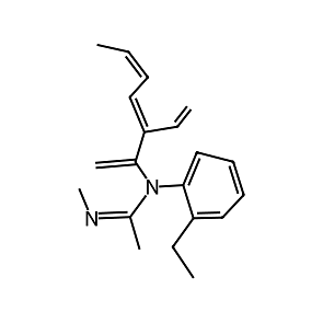 C=C/C(=C\C=C/C)C(=C)N(/C(C)=N\C)c1ccccc1CC